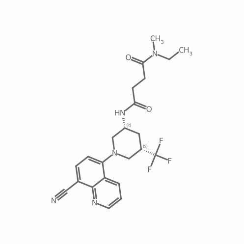 CCN(C)C(=O)CCC(=O)N[C@@H]1C[C@H](C(F)(F)F)CN(c2ccc(C#N)c3ncccc23)C1